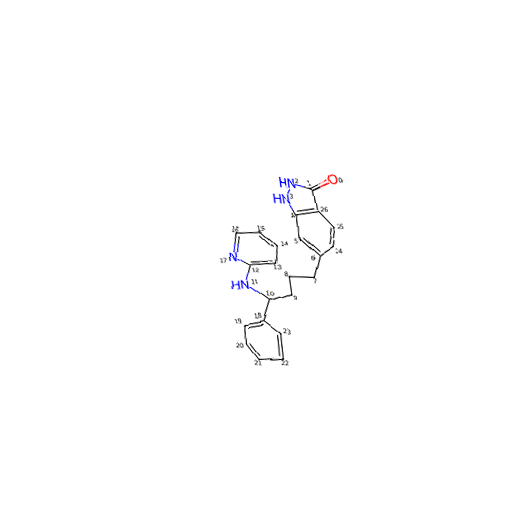 O=c1[nH][nH]c2cc(CCCC(Nc3ccccn3)c3ccccc3)ccc12